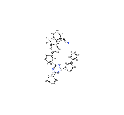 CC1(C)c2cc(-c3cccc(-c4nc(-c5ccccc5)nc(-c5cccc(-c6ccccc6)c5)n4)c3)ccc2-c2c(C#N)cccc21